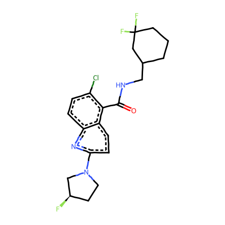 O=C(NCC1CCCC(F)(F)C1)c1c(Cl)ccc2nc(N3CC[C@@H](F)C3)ccc12